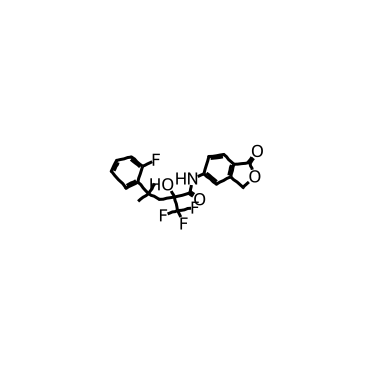 CC(C)(CC(O)(C(=O)Nc1ccc2c(c1)COC2=O)C(F)(F)F)c1ccccc1F